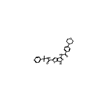 CC(C)(NC(=O)c1cc2c(NC(=O)c3ccc(N4CCOCC4)cc3)n[nH]c2s1)c1ccncc1